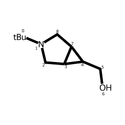 CC(C)(C)N1CC2C(CO)C2C1